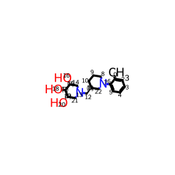 Cc1ccccc1N1CCC[C@H](CN2C[C@@H](O)[C@H](O)[C@@H](O)C2)C1